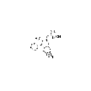 CC1C(c2ccccc2)c2ccccc2CN1CC(N)=NO.Cl.Cl